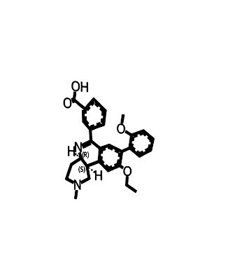 CCOc1cc2c(cc1-c1ccccc1OC)C(c1cccc(C(=O)O)c1)=N[C@@H]1CCN(C)C[C@H]21